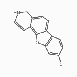 Clc1ccc2c(c1)oc1c3c(ccc12)CNC=C3